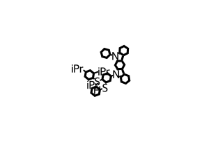 CC(C)c1cc(C(C)C)c([SH]2c3ccccc3Sc3cc(-n4c5ccccc5c5cc6c7ccccc7n(-c7ccccc7)c6cc54)ccc32)c(C(C)C)c1